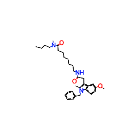 CCCCN(C)C(=O)CCCCCCCNC(=O)Cc1c(C)n(Cc2ccccc2)c2ccc(OC)cc12